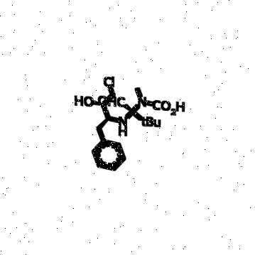 CN(C(=O)O)[C@@](C=O)(N[C@@H](Cc1ccccc1)[C@@H](O)CCl)C(C)(C)C